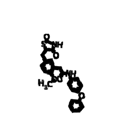 COc1ccc(CC2SC(=O)NC2=O)cc1CC(=O)Nc1ccc(Oc2ccccc2)cc1